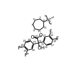 C[N+](C)(C)C1CCCC[C@@H](OC(=O)C(O)(c2ccc(F)c(F)c2)c2ccc(F)c(F)c2)C1